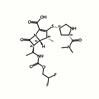 CC(NC(=O)OCC(F)F)[C@H]1C(=O)N2C(C(=O)O)=C(S[C@@H]3CN[C@H](C(=O)N(C)C)C3)[C@H](C)[C@H]12